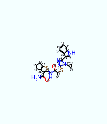 CC(Sc1nnc(-c2c[nH]c3ccccc23)n1C1CC1)C(=O)Nc1sc2c(c1C(N)=O)CCC2